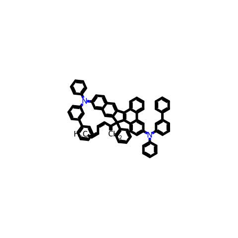 C=C(/C=C\C=C/C)C1(c2ccccc2)c2cc3cc(N(c4ccccc4)c4cccc(-c5ccccc5)c4)ccc3cc2-c2c1c1ccc(N(c3ccccc3)c3cccc(-c4ccccc4)c3)cc1c1ccccc21